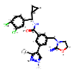 CCn1cc(-c2cc(CN3CCOC3=N)cc(C(=O)N[C@H](c3ccc(Cl)c(Cl)c3)C3CC3)c2)c(C(F)(F)F)n1